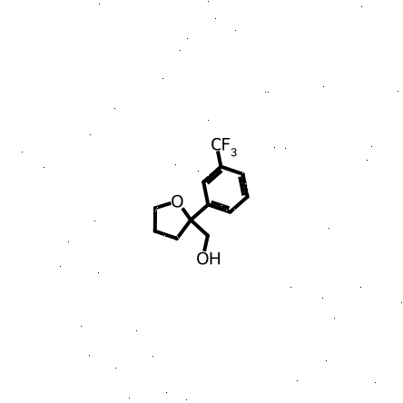 OCC1(c2cccc(C(F)(F)F)c2)CCCO1